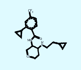 O=C(NC1COCCC1NCCC1CC1)c1ccc(C(F)(F)F)cc1C1CC1